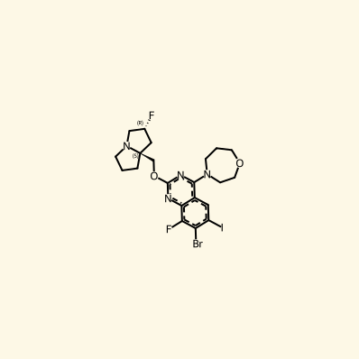 Fc1c(Br)c(I)cc2c(N3CCCOCC3)nc(OC[C@@]34CCCN3C[C@H](F)C4)nc12